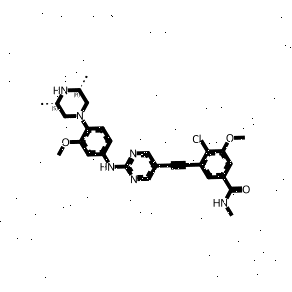 CNC(=O)c1cc(C#Cc2cnc(Nc3ccc(N4C[C@@H](C)N[C@@H](C)C4)c(OC)c3)nc2)c(Cl)c(OC)c1